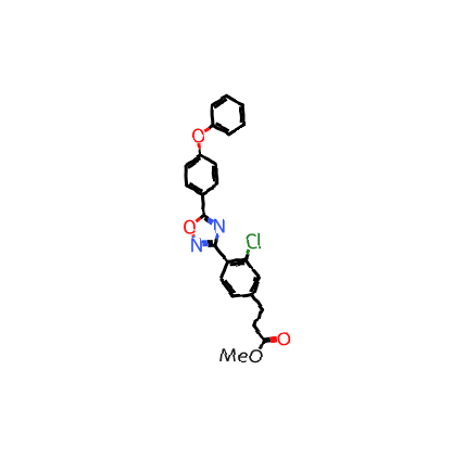 COC(=O)CCc1ccc(-c2noc(-c3ccc(Oc4ccccc4)cc3)n2)c(Cl)c1